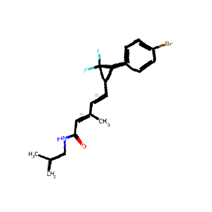 CC(/C=C/C1C(c2ccc(Br)cc2)C1(F)F)=C\C(=O)NCC(C)C